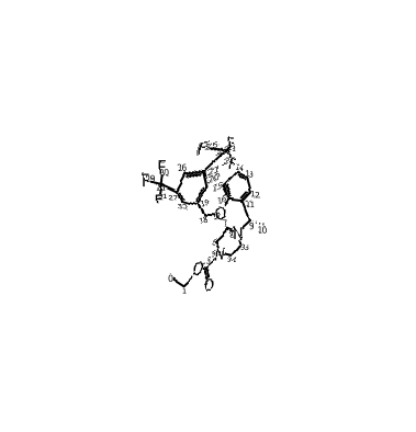 CCOC(=O)N1CCN([C@@H](C)c2ccccc2OCc2cc(C(F)(F)F)cc(C(F)(F)F)c2)CC1